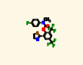 CN(C(=O)Oc1c(-c2nccs2)cc(C(F)(F)F)cc1C(F)(F)F)c1ccc(F)cc1